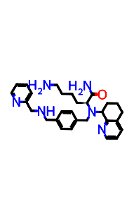 NCCCC[C@@H](C(N)=O)N(Cc1ccc(CNCc2ccccn2)cc1)C1CCCc2cccnc21